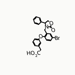 O=C(O)Cc1cccc(Oc2ccc(Br)cc2CN2C(=O)OCC2c2ccccc2)c1